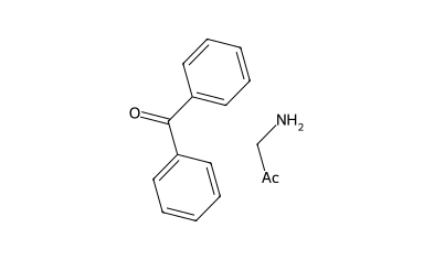 CC(=O)CN.O=C(c1ccccc1)c1ccccc1